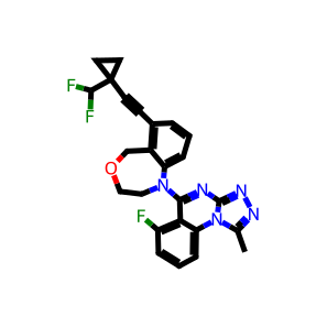 Cc1nnc2nc(N3CCOCc4c(C#CC5(C(F)F)CC5)cccc43)c3c(F)cccc3n12